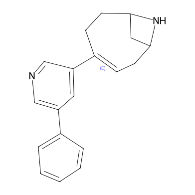 C1=C(/c2cncc(-c3ccccc3)c2)CCC2CC(C/1)N2